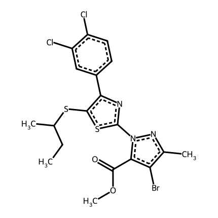 CCC(C)Sc1sc(-n2nc(C)c(Br)c2C(=O)OC)nc1-c1ccc(Cl)c(Cl)c1